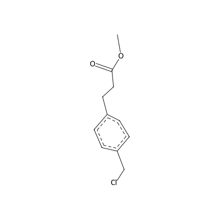 COC(=O)CCc1ccc(CCl)cc1